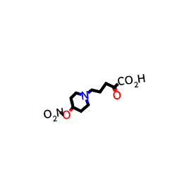 O=C(O)C(=O)CCCN1CCC(O[N+](=O)[O-])CC1